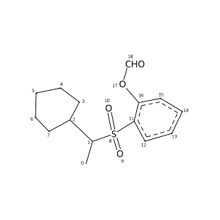 CC(C1CCCCC1)S(=O)(=O)c1ccccc1OC=O